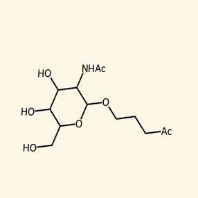 CC(=O)CCCOC1OC(CO)C(O)C(O)C1NC(C)=O